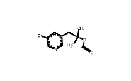 CC(C)(Cc1cncc(Cl)c1)O[C]=O